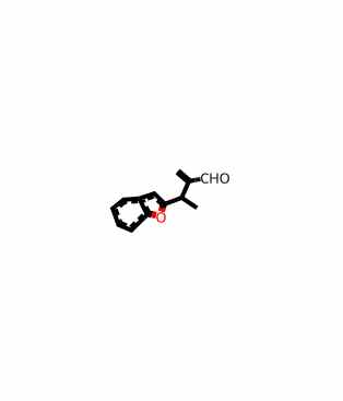 C=C(C=O)C(C)c1cc2ccccc2o1